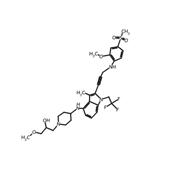 COCC(O)CN1CCC(Nc2cccc3c2c(C)c(C#CCNc2ccc(S(C)(=O)=O)cc2OC)n3CC(F)(F)F)CC1